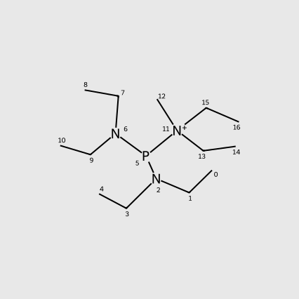 CCN(CC)P(N(CC)CC)[N+](C)(CC)CC